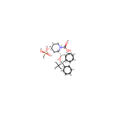 CC(C)(C)[Si](OC[C@@H]1C[C@H](OS(C)(=O)=O)CCN1C(=O)O)(c1ccccc1)c1ccccc1